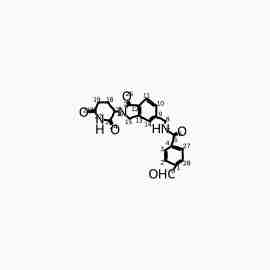 O=Cc1ccc(C(=O)NCc2ccc3c(c2)CN(C2CCC(=O)NC2=O)C3=O)cc1